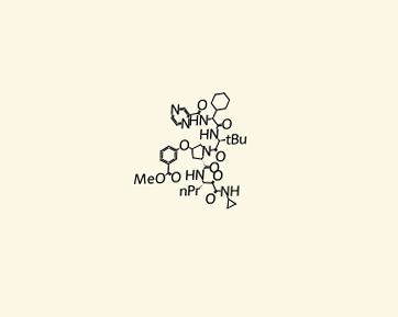 CCC[C@H](NC(=O)[C@@H]1C[C@@H](Oc2cccc(C(=O)OC)c2)CN1C(=O)[C@@H](NC(=O)[C@@H](NC(=O)c1cnccn1)C1CCCCC1)C(C)(C)C)C(=O)C(=O)NC1CC1